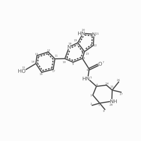 CC1(C)CC(NC(=O)c2cc(-c3ccc(O)cc3)nc3[nH]ncc23)CC(C)(C)N1